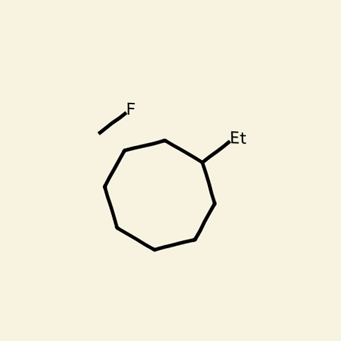 CF.[CH2]CC1CCCCCCC1